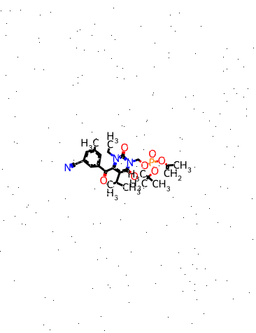 C=C(C)OP(=O)(OCn1c(=O)c(C(C)C)c(C(=O)c2cc(C)cc(C#N)c2)n(CC)c1=O)OC(C)(C)C